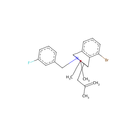 C=C(C)CC1C2c3c(Br)cccc3C(CC2(C)C)N1Cc1cccc(F)c1